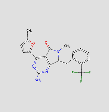 Cc1ccc(-c2nc(N)nc3c2C(=O)N(C)C3Cc2ccccc2C(F)(F)F)o1